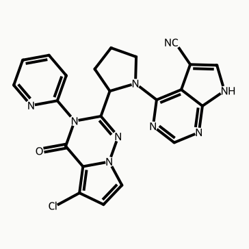 N#Cc1c[nH]c2ncnc(N3CCCC3c3nn4ccc(Cl)c4c(=O)n3-c3ccccn3)c12